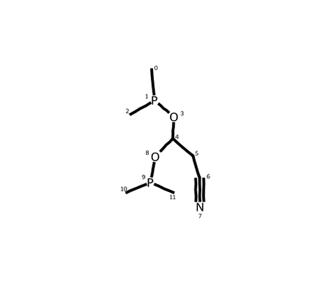 CP(C)OC(CC#N)OP(C)C